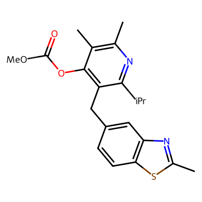 COC(=O)Oc1c(C)c(C)nc(C(C)C)c1Cc1ccc2sc(C)nc2c1